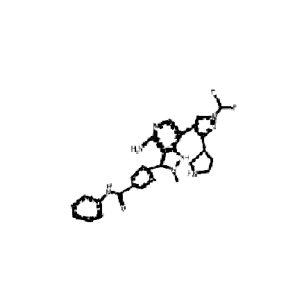 CN1Nc2c(-c3cn(C(F)F)nc3C3CCNC3)cnc(N)c2C1c1ccc(C(=O)Nc2ccccc2)cc1